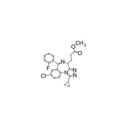 COC(=O)CCC1N=C(c2ccccc2F)c2cc(Cl)ccc2-n2c(C3CC3)nnc21